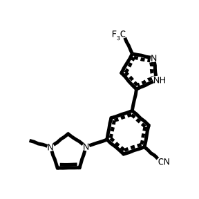 CN1C=CN(c2cc(C#N)cc(-c3cc(C(F)(F)F)n[nH]3)c2)C1